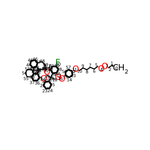 C=CCOOCCCCCCOc1ccc(OOC[C@](c2ccccc2)(c2ccc(F)cc2)C2Oc3ccc4c(c3[C@H]3c5ccccc5CC[C@H]3O2)CCCC4)cc1